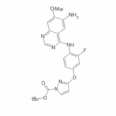 COc1cc2ncnc(Nc3ccc(Oc4ccn(C(=O)OC(C)(C)C)n4)cc3F)c2cc1N